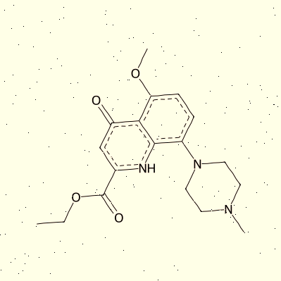 CCOC(=O)c1cc(=O)c2c(OC)ccc(N3CCN(C)CC3)c2[nH]1